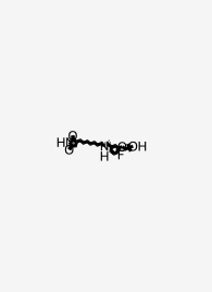 C[C@@H](NCCCCCCCC1CC(=O)NC1=O)c1ccc(F)c(OCC(C)(C)O)c1